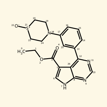 CCOC(=O)c1c[nH]c2ncnc(-c3cccc(N4CC[S+]([O-])CC4)c3)c12